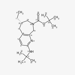 CC[C@H]1Cc2ccc(NC(C)(C)C)nc2CN(C(=O)OC(C)(C)C)C1